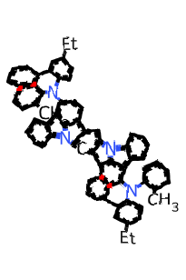 CCc1ccc(N(c2ccccc2C)c2ccc3c4cc5c(cc4n4c6ccccc6c2c34)c2ccc(N(c3ccccc3C)c3ccc(CC)cc3-c3ccccc3)c3c4ccccc4n5c23)c(-c2ccccc2)c1